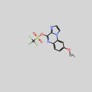 COc1ccc2nc(OS(=O)(=O)C(F)(F)F)c3nccn3c2c1